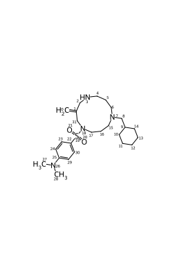 C=C1CNCCCN(CC2CCCCC2)CCCN(S(=O)(=O)c2ccc(N(C)C)cc2)C1